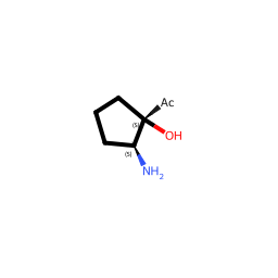 CC(=O)[C@]1(O)CCC[C@@H]1N